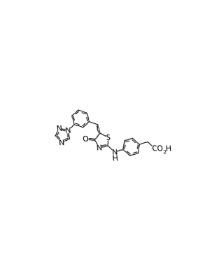 O=C(O)Cc1ccc(NC2=NC(=O)/C(=C\c3cccc(-n4cncn4)c3)S2)cc1